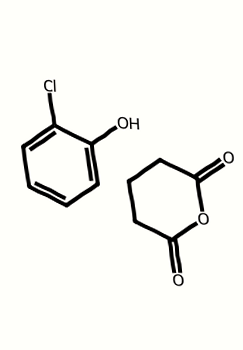 O=C1CCCC(=O)O1.Oc1ccccc1Cl